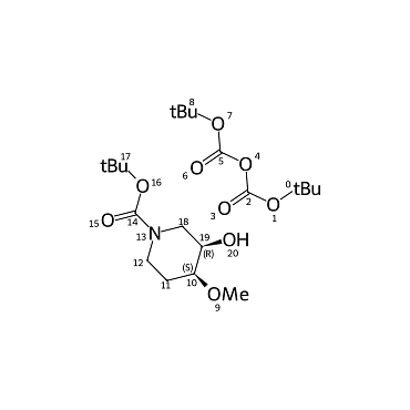 CC(C)(C)OC(=O)OC(=O)OC(C)(C)C.CO[C@H]1CCN(C(=O)OC(C)(C)C)C[C@H]1O